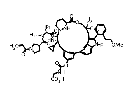 C=CC(=O)N1CC[C@H](C(=O)N(C)[C@H](C(=O)N[C@@]2(C3CC3)Cc3cc(OC(=O)NCC(=O)O)cc(c3)-c3ccc4c(c3)c(c(-c3ccccc3CCOC)n4CC)CC(C)(C)COC(=O)[C@@H]3CCCN(N3)C2=O)C(C)C)C1